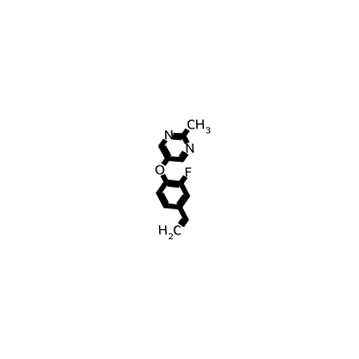 C=Cc1ccc(Oc2cnc(C)nc2)c(F)c1